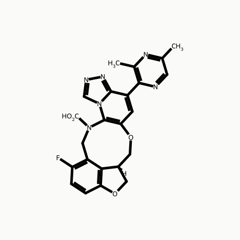 Cc1cnc(-c2cc3c(n4cnnc24)N(C(=O)O)Cc2c(F)ccc4c2[C@@H](CO4)CO3)c(C)n1